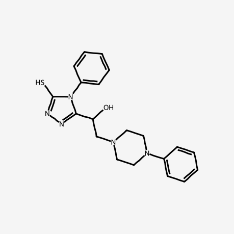 OC(CN1CCN(c2ccccc2)CC1)c1nnc(S)n1-c1ccccc1